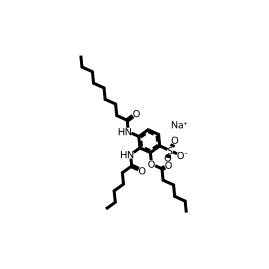 CCCCCCCCC(=O)Nc1ccc(S(=O)(=O)[O-])c(OC(=O)CCCCC)c1NC(=O)CCCCC.[Na+]